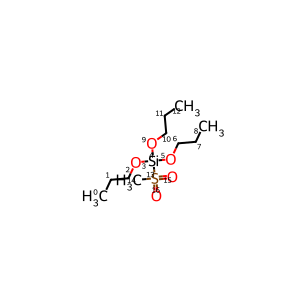 CCCO[Si](OCCC)(OCCC)S(C)(=O)=O